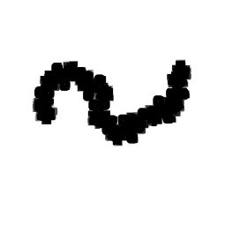 O=C(Oc1cccc(N2C(=O)c3ccc(Oc4ccc5c(c4)C(=O)N(c4cccc(OC(=O)c6ccc7ccccc7c6)c4)C5=O)cc3C2=O)c1)c1cccc(C(=O)Oc2cccc(N3C(=O)c4ccc(Oc5ccc6c(c5)C(=O)N(c5cccc(OC(=O)c7ccc8ccccc8c7)c5)C6=O)cc4C3=O)c2)c1